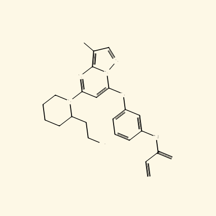 C=CC(=C)Nc1cccc(Nc2cc(N3CCCCC3CCO)nc3c(CC)cnn23)c1